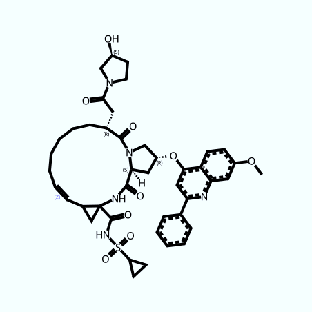 COc1ccc2c(O[C@@H]3C[C@H]4C(=O)NC5(C(=O)NS(=O)(=O)C6CC6)CC5/C=C\CCCCC[C@H](CC(=O)N5CC[C@H](O)C5)C(=O)N4C3)cc(-c3ccccc3)nc2c1